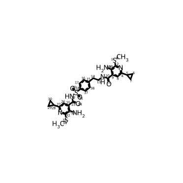 CSc1nc(C2CC2)cc(C(=O)NCCc2ccc(S(=O)(=O)NC(=O)c3cc(C4CC4)nc(SC)c3N)cc2)c1N